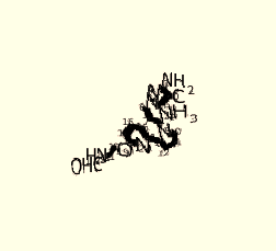 Cc1c(N)nn2ccc(N3CCCC3c3cccc(OCCNC=O)n3)nc12